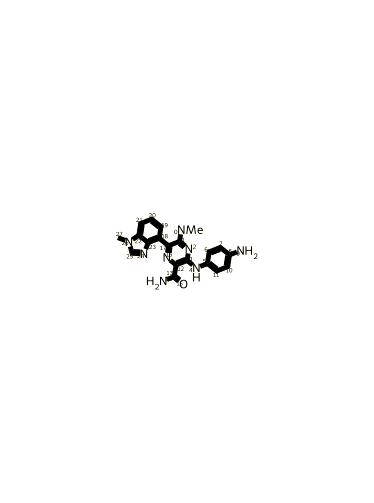 CNc1nc(Nc2ccc(N)cc2)c(C(N)=O)nc1-c1cccc2c1ncn2C